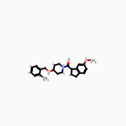 COc1ccc2c(c1)C(C(=O)N1CCC(OCc3ccccc3C)CC1)CC2